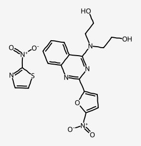 O=[N+]([O-])c1ccc(-c2nc(N(CCO)CCO)c3ccccc3n2)o1.O=[N+]([O-])c1nccs1